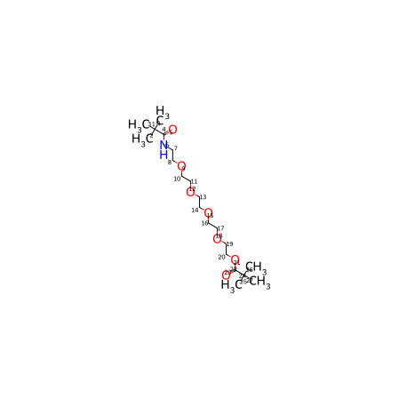 CC(C)(C)C(=O)NCCOCCOCCOCCOCCOC(=O)C(C)(C)C